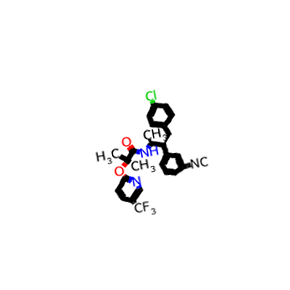 [C-]#[N+]c1cccc([C@H](Cc2ccc(Cl)cc2)[C@H](C)NC(=O)C(C)(C)Oc2ccc(C(F)(F)F)cn2)c1